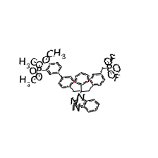 COc1ccc(-c2ccc(CC(Cc3ccc(CP(=O)(OF)OF)cc3)(c3ccccc3)n3nnc4ccccc43)cc2)cc1P(=O)(OC)OC